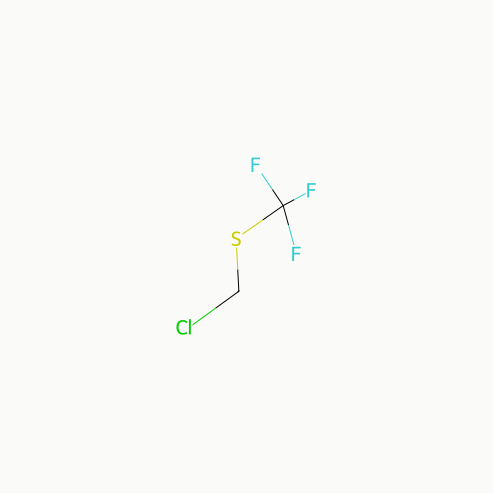 FC(F)(F)SCCl